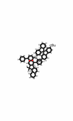 CC(C)(C)c1ccc2c(c1)C1(c3ccccc3-c3ccc(N(c4ccc(-c5ccccc5)cc4)c4ccccc4-c4cccc5c4-c4ccc6ccccc6c4C5(C)C)cc31)c1cc(C(C)(C)C)ccc1-2